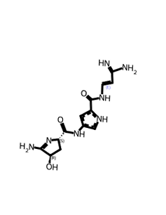 N=C(N)/C=C/NC(=O)c1cc(NC(=O)[C@@H]2C[C@@H](O)C(N)=N2)c[nH]1